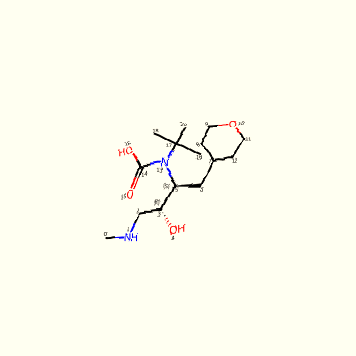 CNC[C@@H](O)[C@H](CC1CCOCC1)N(C(=O)O)C(C)(C)C